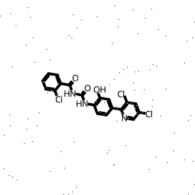 O=C(NC(=O)c1ccccc1Cl)Nc1ccc(-c2ncc(Cl)cc2Cl)cc1O